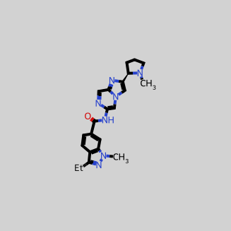 CCc1nn(C)c2cc(C(=O)Nc3cn4cc([C@H]5CCCN5C)nc4cn3)ccc12